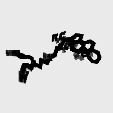 C[C@H](CCCNCCCN(CCS)CCS)C1CCC2C3CCC4CCCCC[C@]4(C)C3CC[C@@]21C